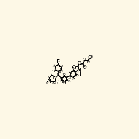 CN1CCN([C@@H](c2ccc(F)cc2)c2cncc(-c3ccc4c(c3)OC(OC(=O)CC=O)N4)c2)CC1